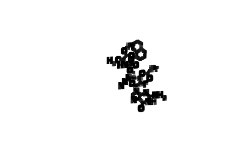 CC(C)OC(=O)[C@H](C)NP(=O)(OC[C@@]1(N=[N+]=[N-])O[C@@H](n2cnc3c(=O)[nH]c(N)nc32)[C@H](F)[C@@H]1OC(=O)C(C)C)Oc1cccc2ccccc12